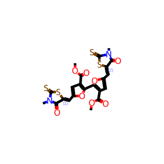 COC(=O)c1cc(/C=C2\SC(=S)N(C)C2=O)oc1-c1oc(/C=C2\SC(=S)N(C)C2=O)cc1C(=O)OC